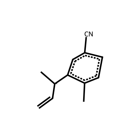 C=C[C](C)c1cc(C#N)ccc1C